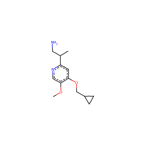 COc1cnc(C(C)CN)cc1OCC1CC1